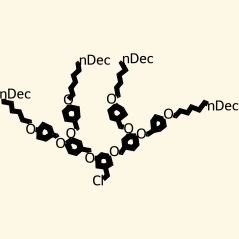 CCCCCCCCCCCCCCCCOc1ccc(COc2ccc(COc3cc(CCl)cc(OCc4ccc(OCc5ccc(OCCCCCCCCCCCCCCCC)cc5)c(OCc5ccc(OCCCCCCCCCCCCCCCC)cc5)c4)c3)cc2OCc2ccc(OCCCCCCCCCCCCCCCC)cc2)cc1